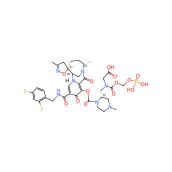 CC1=NO[C@@]2(CC[C@H](C)N3C[C@H]2n2cc(C(=O)NCc4ccc(F)cc4F)c(=O)c(OC(=O)N4CCN(C)C[C@H]4CN(CC(=O)O)C(=O)OCOP(=O)(O)O)c2C3=O)C1